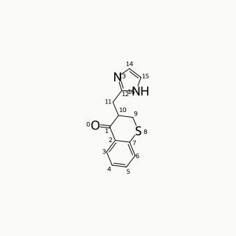 O=C1c2ccccc2SCC1Cc1ncc[nH]1